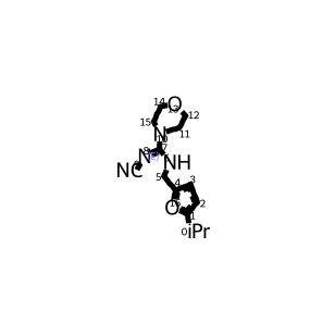 CC(C)c1ccc(CN/C(=N\C#N)N2CCOCC2)o1